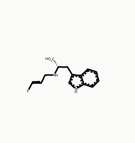 O=C(O)[C@H](Cc1c[nH]c2ccccc12)NCC=CF